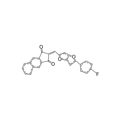 O=C1C(=Cc2cc3oc(-c4ccc(F)cc4)cc3o2)C(=O)c2cc3ccccc3cc21